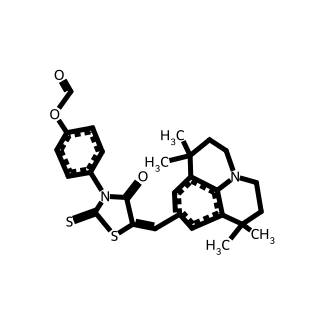 CC1(C)CCN2CCC(C)(C)c3cc(/C=C4/SC(=S)N(c5ccc(OC=O)cc5)C4=O)cc1c32